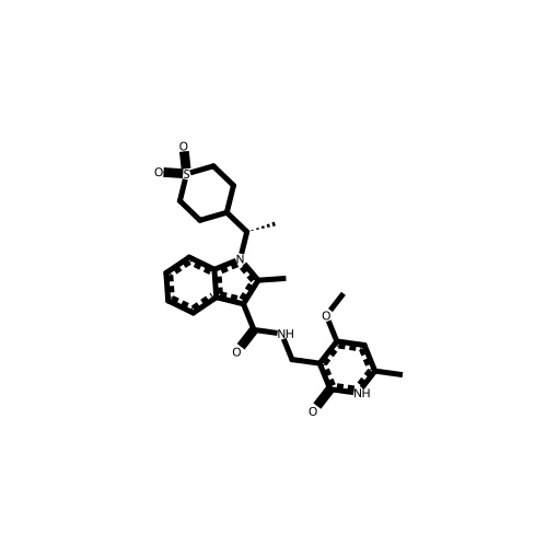 COc1cc(C)[nH]c(=O)c1CNC(=O)c1c(C)n([C@@H](C)C2CCS(=O)(=O)CC2)c2ccccc12